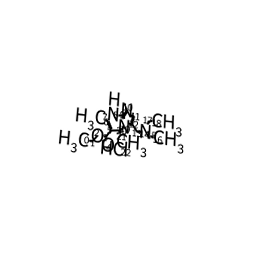 CCOC(=O)C1=C(C)Nc2ncc(CN(CC)CC)n2C1C.Cl